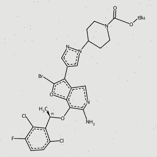 C[C@@H](Oc1c(N)ncc2c(-c3cnn(C4CCN(C(=O)OC(C)(C)C)CC4)c3)c(Br)oc12)c1c(Cl)ccc(F)c1Cl